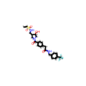 C=CS(=O)(=O)NCC1CN(C(=O)c2ccc(CC(=O)NCc3ccc(C(F)(F)F)cc3)cc2)CC1O